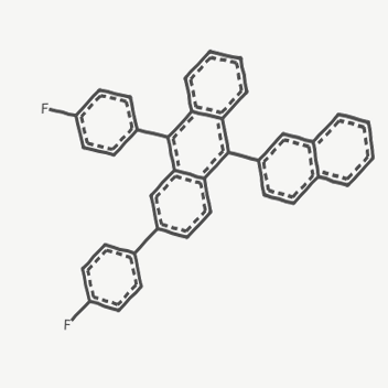 Fc1ccc(-c2ccc3c(-c4ccc5ccccc5c4)c4ccccc4c(-c4ccc(F)cc4)c3c2)cc1